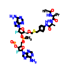 BP(OC[C@H]1O[C@@H](n2cnc3c(N)ncnc32)[C@H](F)[C@@H]1OP=O)O[C@H]1[C@@H](F)[C@H](n2cnc3c(N)ncnc32)O[C@@H]1COCSCc1ccc(NC(=O)[C@H](C)NC(=O)C(NC(=O)CCC)C(C)C)cc1